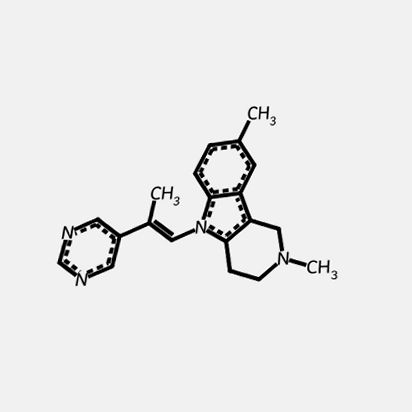 C/C(=C\n1c2c(c3cc(C)ccc31)CN(C)CC2)c1cncnc1